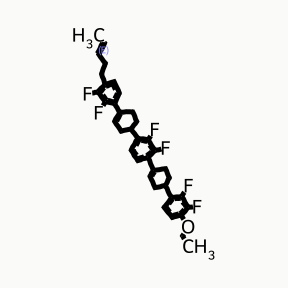 C/C=C/CCc1ccc(C2=CCC(c3ccc(C4=CCC(c5ccc(OCC)c(F)c5F)CC4)c(F)c3F)CC2)c(F)c1F